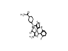 NC(=O)C1=C(N)SC(c2c(F)cccc2F)N1c1cnsc1OC1CCC(C(N)=O)CC1